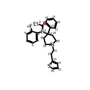 CCC(=O)N(c1ccccc1F)C1(c2ccccc2)CCN(CCc2cccs2)CC1